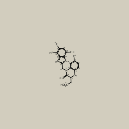 O=C(O)CC1Sc2ccc(F)cc2N(Cc2nc3c(F)c(F)cc(F)c3s2)C1=O